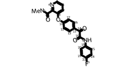 CNC(=O)c1ncccc1Oc1ccc(C(=O)C(=O)Nc2ccc(F)cc2)cc1